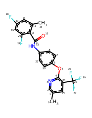 Cc1cnc(Oc2ccc(NC(=O)c3c(C)cc(F)cc3F)cc2)c(C(F)(F)F)c1